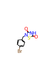 O=c1[nH]c(=O)n(Cc2ccc(Br)cc2)s1